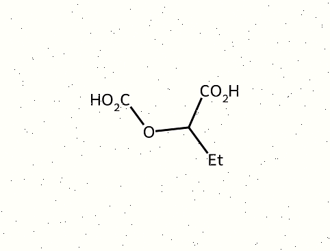 CCC(OC(=O)O)C(=O)O